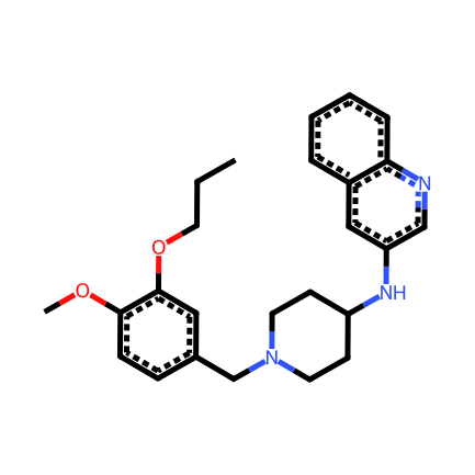 CCCOc1cc(CN2CCC(Nc3cnc4ccccc4c3)CC2)ccc1OC